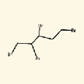 BrCCC(Br)C(Br)CBr